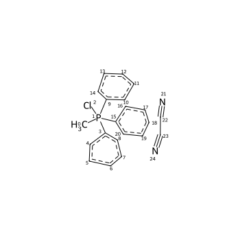 CP(Cl)(c1ccccc1)(c1ccccc1)c1ccccc1.N#CC#N